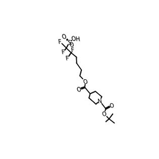 CC(C)(C)OC(=O)N1CCC(C(=O)OCCCCC(F)(F)C(F)(F)S(=O)(=O)O)CC1